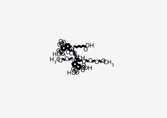 COCCOCCOCCOCCC1(C)C(/C=C/C=C2/N(CCCCCC(=O)O)c3ccc4c(S(=O)(=O)[O-])cc(S(=O)(=O)O)cc4c3C2(C)C)=[N+](CCOCCOC)c2ccc3c(S(=O)(=O)O)cc(S(=O)(=O)O)cc3c21